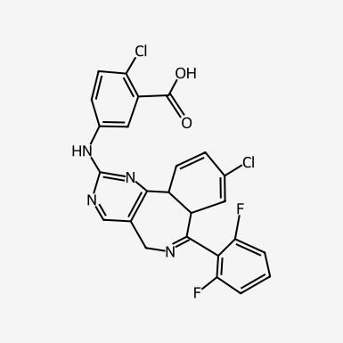 O=C(O)c1cc(Nc2ncc3c(n2)C2C=CC(Cl)=CC2C(c2c(F)cccc2F)=NC3)ccc1Cl